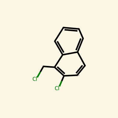 ClCc1c(Cl)[c]cc2ccccc12